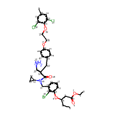 CCOC(=O)CC(CC)Oc1cccc(CN(C(=O)C(CN)Cc2ccc(OCCOc3c(Cl)cc(C)cc3Cl)cc2)C2CC2)c1Br